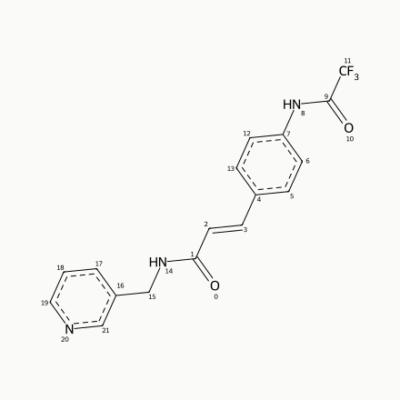 O=C(C=Cc1ccc(NC(=O)C(F)(F)F)cc1)NCc1cccnc1